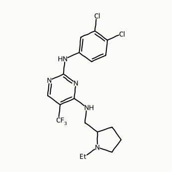 CCN1CCCC1CNc1nc(Nc2ccc(Cl)c(Cl)c2)ncc1C(F)(F)F